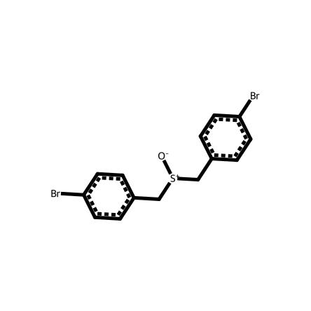 [O-][S+](Cc1ccc(Br)cc1)Cc1ccc(Br)cc1